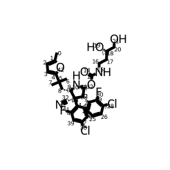 Cc1ccc(C(C)(C)C[C@@H]2N[C@H](OC(=O)NCC[C@H](O)CO)[C@H](c3cccc(Cl)c3F)[C@@]2(C#N)c2ccc(Cl)cc2F)o1